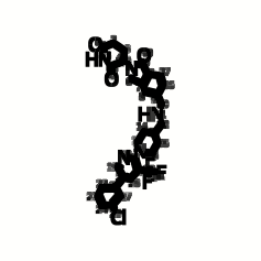 O=C1CC[C@H](N2Cc3cc(CNCC4CCN(c5ncc(-c6cccc(Cl)c6)cc5C(F)(F)F)CC4)ccc3C2=O)C(=O)N1